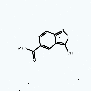 COC(=O)c1ccc2noc(O)c2c1